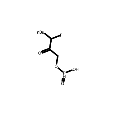 CCCCC(F)C(=O)CO[PH](=O)O